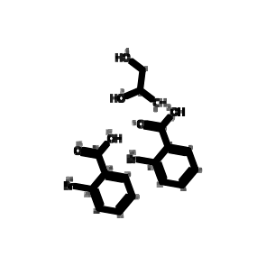 CC(O)CO.O=C(O)c1ccccc1Br.O=C(O)c1ccccc1Br